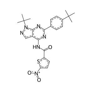 CC(C)(C)c1ccc(-c2nc(NC(=O)c3ccc([N+](=O)[O-])s3)c3cnn(C(C)(C)C)c3n2)cc1